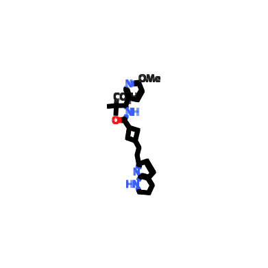 COc1ccc(C(NC(=O)C2CC(CCc3ccc4c(n3)NCCC4)C2)C(C)(C)C(=O)O)cn1